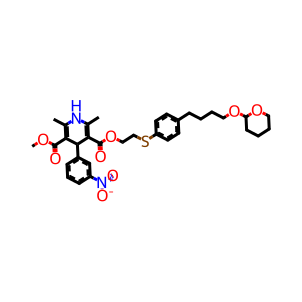 COC(=O)C1=C(C)NC(C)=C(C(=O)OCCSc2ccc(CCCCOC3CCCCO3)cc2)C1c1cccc([N+](=O)[O-])c1